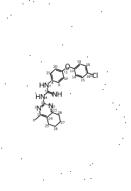 Cc1nc(NC(=N)Nc2ccc(Oc3ccc(Cl)cc3)cc2)nc2c1CCCC2